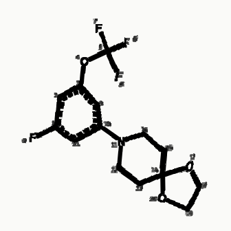 Fc1cc(OC(F)(F)F)cc(N2CCC3(CC2)OCCO3)c1